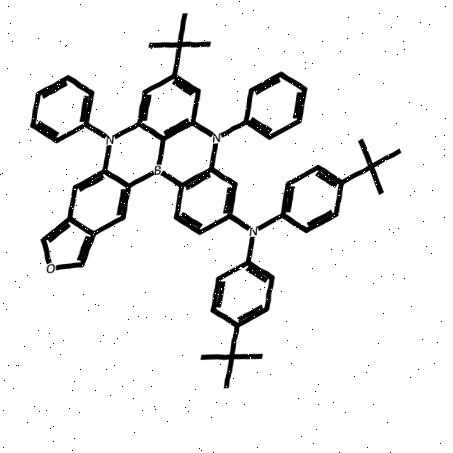 CC(C)(C)c1ccc(N(c2ccc(C(C)(C)C)cc2)c2ccc3c(c2)N(c2ccccc2)c2cc(C(C)(C)C)cc4c2B3c2cc3cocc3cc2N4c2ccccc2)cc1